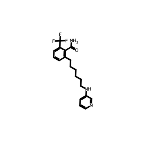 NC(=O)c1c([CH]CCCCCNc2cccnc2)cccc1C(F)(F)F